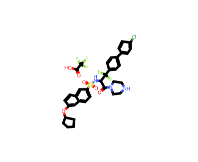 O=C(C(NS(=O)(=O)c1ccc2cc(OC3CCCC3)ccc2c1)C(F)(F)c1ccc(-c2ccc(Cl)cc2)cc1)N1CCNCC1.O=C(O)C(F)(F)F